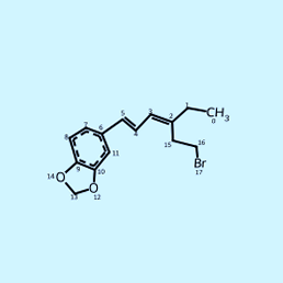 CCC(=CC=Cc1ccc2c(c1)OCO2)CCBr